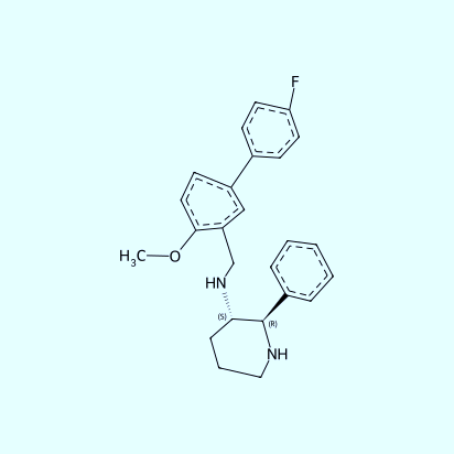 COc1ccc(-c2ccc(F)cc2)cc1CN[C@H]1CCCN[C@@H]1c1ccccc1